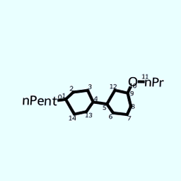 CCCCCC1CCC(C2CCCC(OCCC)C2)CC1